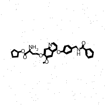 COc1cc2c(Oc3ccc(CNC(=O)c4ccccc4)cc3)ccnc2cc1OCCC(N)C(=O)OC1CCCC1